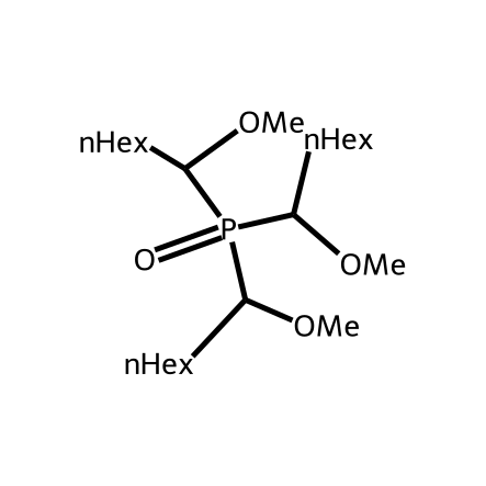 CCCCCCC(OC)P(=O)(C(CCCCCC)OC)C(CCCCCC)OC